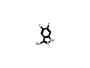 CC(C)(C)c1n[nH]c2cc(F)c(F)cc12